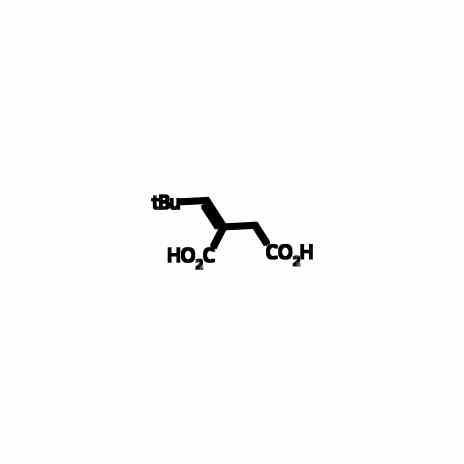 CC(C)(C)/C=C(/CC(=O)O)C(=O)O